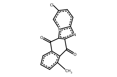 Cc1cccc2c1C(=O)c1nc3ccc(Cl)cn3c1C2=O